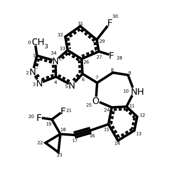 Cc1nnc2nc(C3CCNc4cccc(C#CC5(C(F)F)CC5)c4O3)c3c(F)c(F)ccc3n12